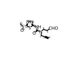 C#CCN(CCC=O)C(=O)Nc1nnc([S+](C)[O-])s1